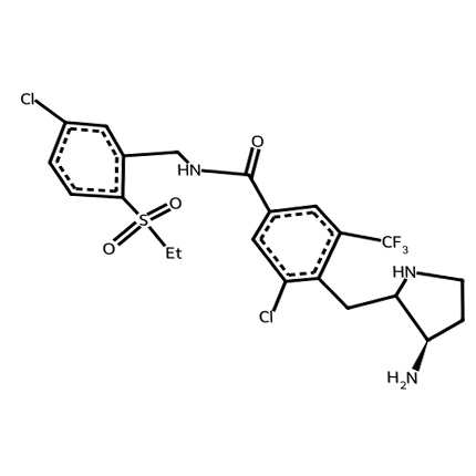 CCS(=O)(=O)c1ccc(Cl)cc1CNC(=O)c1cc(Cl)c(CC2NCC[C@H]2N)c(C(F)(F)F)c1